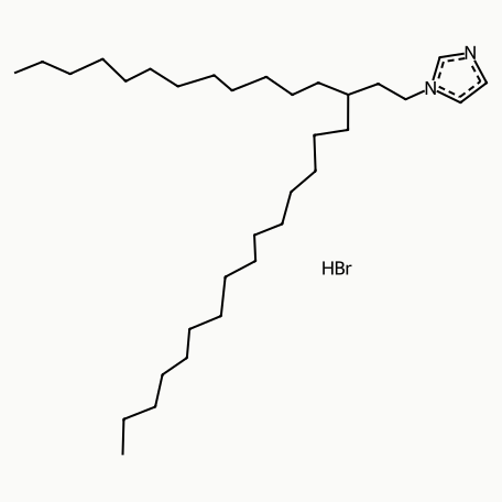 Br.CCCCCCCCCCCCCCCC(CCCCCCCCCCCC)CCn1ccnc1